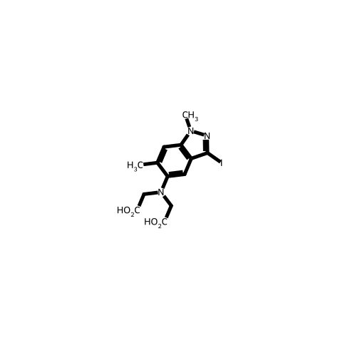 Cc1cc2c(cc1N(CC(=O)O)CC(=O)O)c(I)nn2C